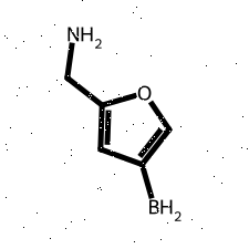 Bc1coc(CN)c1